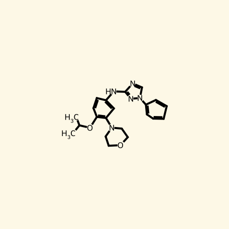 CC(C)Oc1ccc(Nc2ncn(-c3ccccc3)n2)cc1N1CCOCC1